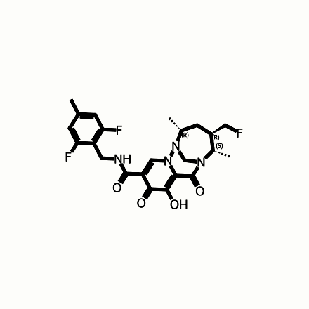 Cc1cc(F)c(CNC(=O)c2cn3c(c(O)c2=O)C(=O)N2CN3[C@H](C)C[C@@H](CF)[C@@H]2C)c(F)c1